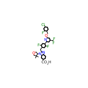 CC1(C)COCC1n1c(Cc2cc(F)c(-c3cc(C(F)F)cc(OCc4ccc(Cl)cc4F)n3)cc2F)nc2ccc(C(=O)O)cc21